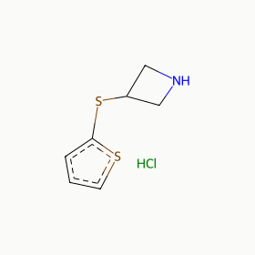 Cl.c1csc(SC2CNC2)c1